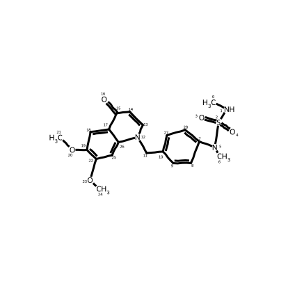 CNS(=O)(=O)N(C)c1ccc(Cn2ccc(=O)c3cc(OC)c(OC)cc32)cc1